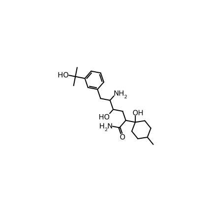 CC1CCC(O)(C(CC(O)C(N)Cc2cccc(C(C)(C)O)c2)C(N)=O)CC1